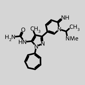 CNC(C)n1cc(-c2nn(C3=CC=CCC=C3)c(NC(N)=O)c2C)ccc1=N